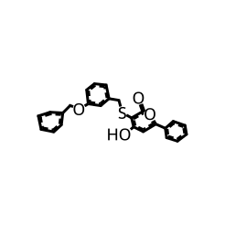 O=c1oc(-c2ccccc2)cc(O)c1SCc1cccc(OCc2ccccc2)c1